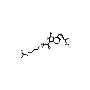 CCOC(C)n1ncc2c1CCc1c(C(=O)NCCCCCCSC(C)=O)n[nH]c1-2